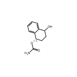 NC(=O)O[C@H]1CCC(O)c2ccccc21